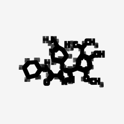 COc1cc(O)c(C(C)C)cc1-c1nnc(C(=O)NC2CCCCC2)n1C1=CN=C(N)CC1